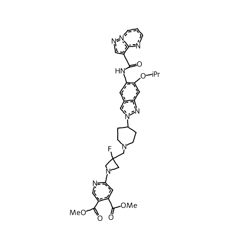 COC(=O)c1cnc(N2CC(F)(CN3CCC(n4cc5cc(NC(=O)c6cnn7cccnc67)c(OC(C)C)cc5n4)CC3)C2)cc1C(=O)OC